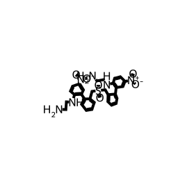 NCCNc1ccc([N+](=O)[O-])cc1-c1ccccc1CS(=O)(=O)Cc1ccccc1-c1cc([N+](=O)[O-])ccc1NCCN